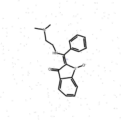 CN(C)CCN/C(=C1\C(=O)c2ccccc2[S+]1[O-])c1ccccc1